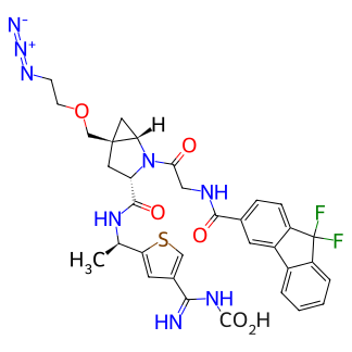 C[C@@H](NC(=O)[C@@H]1C[C@]2(COCCN=[N+]=[N-])C[C@@H]2N1C(=O)CNC(=O)c1ccc2c(c1)-c1ccccc1C2(F)F)c1cc(C(=N)NC(=O)O)cs1